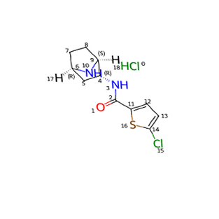 Cl.O=C(N[C@@H]1C[C@H]2CC[C@@H]1N2)c1ccc(Cl)s1